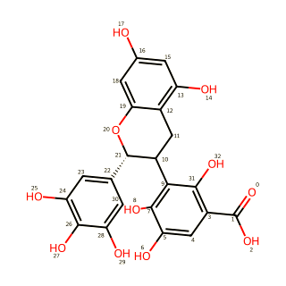 O=C(O)c1cc(O)c(O)c(C2Cc3c(O)cc(O)cc3O[C@H]2c2cc(O)c(O)c(O)c2)c1O